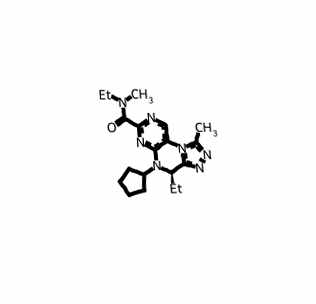 CC[C@@H]1c2nnc(C)n2-c2cnc(C(=O)N(C)CC)nc2N1C1CCCC1